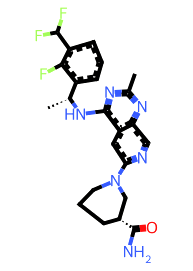 Cc1nc(N[C@H](C)c2cccc(C(F)F)c2F)c2cc(N3CCC[C@@H](C(N)=O)C3)ncc2n1